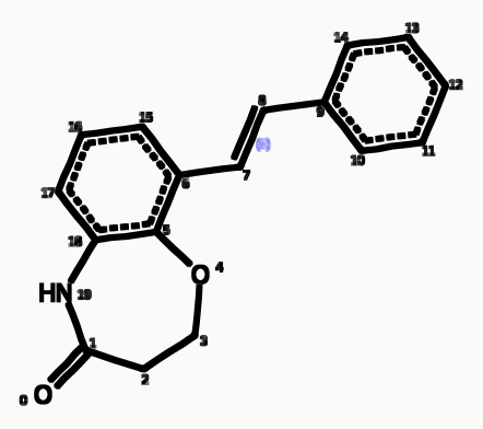 O=C1CCOc2c(/C=C/c3ccccc3)cccc2N1